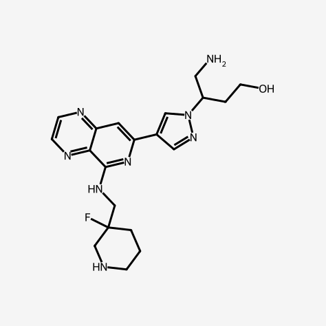 NCC(CCO)n1cc(-c2cc3nccnc3c(NCC3(F)CCCNC3)n2)cn1